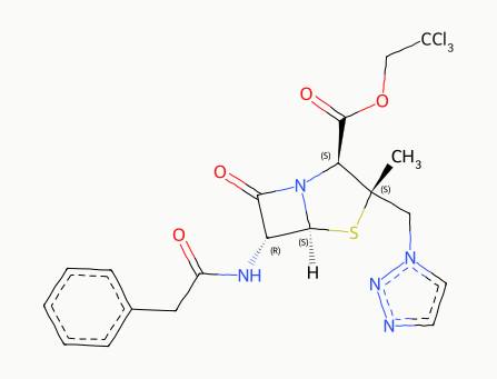 C[C@@]1(Cn2ccnn2)S[C@H]2[C@H](NC(=O)Cc3ccccc3)C(=O)N2[C@H]1C(=O)OCC(Cl)(Cl)Cl